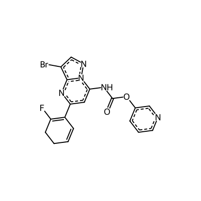 O=C(Nc1cc(C2=C(F)CCC=C2)nc2c(Br)cnn12)Oc1cccnc1